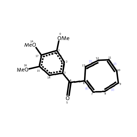 COc1cc(C(=O)C2=C/C=C\C=C/C=C\2)cc(OC)c1OC